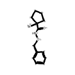 O=C(NOCc1ccccc1)C1(Br)CCCC1